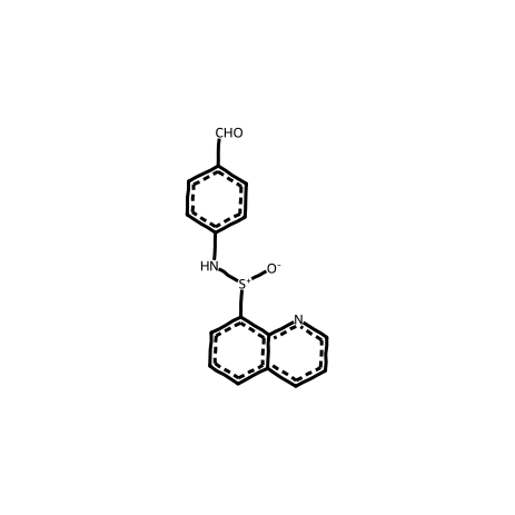 O=Cc1ccc(N[S+]([O-])c2cccc3cccnc23)cc1